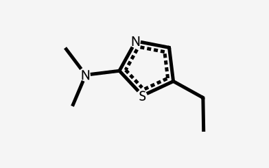 CCc1cnc(N(C)C)s1